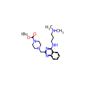 CN(C)CCCNc1nc(CN2CCN(C(=O)OC(C)(C)C)CC2)nc2ccccc12